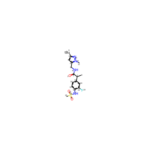 CC(C(=O)NCc1cc(C(C)(C)C)nn1C)c1ccc(NS(C)(=O)=O)c(F)c1